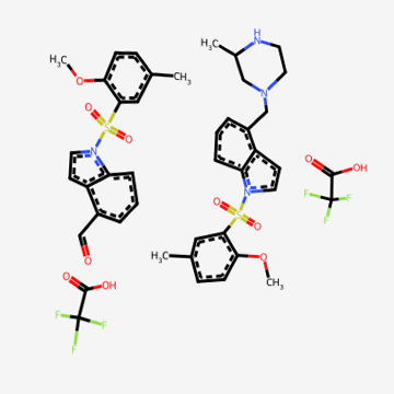 COc1ccc(C)cc1S(=O)(=O)n1ccc2c(C=O)cccc21.COc1ccc(C)cc1S(=O)(=O)n1ccc2c(CN3CCNC(C)C3)cccc21.O=C(O)C(F)(F)F.O=C(O)C(F)(F)F